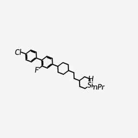 CCC[SiH]1CCC(CCC2CCC(c3ccc(-c4ccc(Cl)cc4)c(F)c3)CC2)CC1